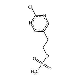 CS(=O)(=O)OCCc1cnc(Cl)nc1